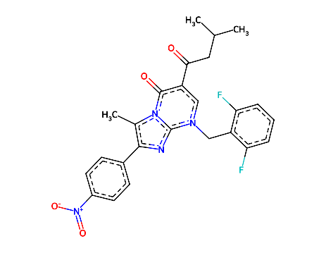 Cc1c(-c2ccc([N+](=O)[O-])cc2)nc2n(Cc3c(F)cccc3F)cc(C(=O)CC(C)C)c(=O)n12